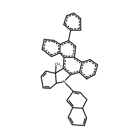 CC12C=CC=CC1N(C1=CCC3C=CC=CC3=C1)c1c2c2c3ccccc3c(-c3ccccc3)cc2c2ccccc12